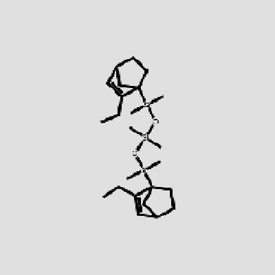 CCC1=CC2CCC1([Si](C)(C)O[Si](C)(C)O[Si](C)(C)C13CCC(C=C1CC)C3)C2